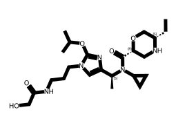 CC[C@H]1CO[C@@H](C(=O)N(C2CC2)[C@@H](C)c2cn(CCCNC(=O)CO)c(OC(C)C)n2)CN1